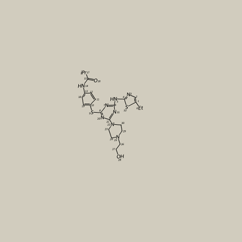 CCc1cnc(Nc2nc(Sc3ccc(NC(=O)C(C)C)cc3)nc(N3CCN(CCO)CC3)n2)s1